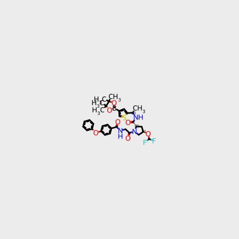 C[C@@H](NC(=O)[C@@H]1C[C@@H](OC(F)F)CN1C(=O)CNC(=O)c1ccc(Oc2ccccc2)cc1)c1cc(B2OC(C)(C)C(C)(C)O2)cs1